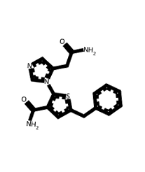 NC(=O)Cc1cncn1-c1sc(Cc2ccccc2)cc1C(N)=O